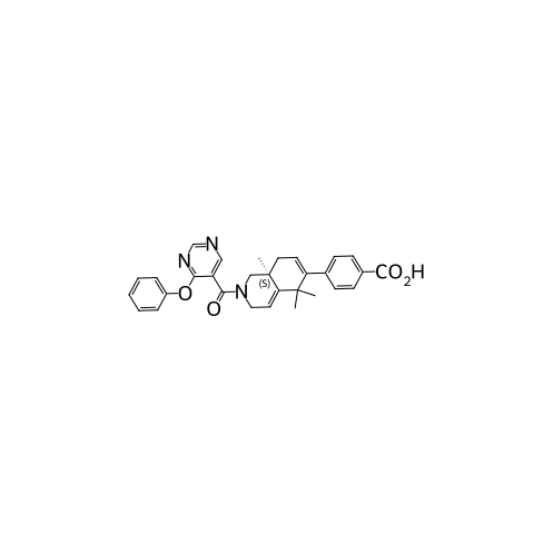 CC1(C)C(c2ccc(C(=O)O)cc2)=CC[C@]2(C)CN(C(=O)c3cncnc3Oc3ccccc3)CC=C12